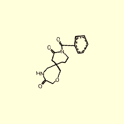 O=C1COCC2(CCN(C(=O)c3ccccc3)C(=O)C2)CN1